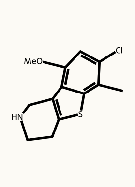 COc1cc(Cl)c(C)c2sc3c(c12)CNCC3